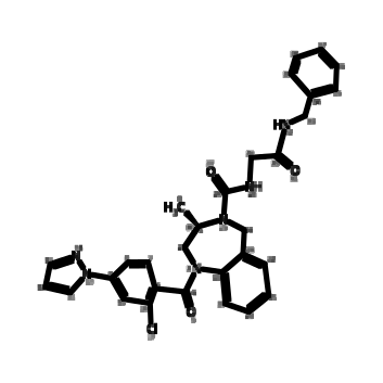 C[C@@H]1CN(C(=O)c2ccc(-n3cccn3)cc2Cl)c2ccccc2CN1C(=O)NCC(=O)NCc1ccccc1